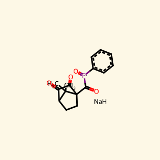 CC1(C)C2CCC1(C(=O)[P](=O)c1ccccc1)C(=O)C2=O.[NaH]